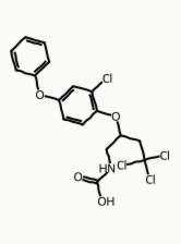 O=C(O)NCC(CC(Cl)(Cl)Cl)Oc1ccc(Oc2ccccc2)cc1Cl